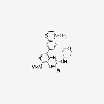 CCc1nc2c(NC)ncc(-c3ccc4c(c3)OCCN4C)c2nc1NC1CCOCC1